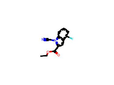 CCOC(=O)c1cc2c(F)cccc2n1C#N